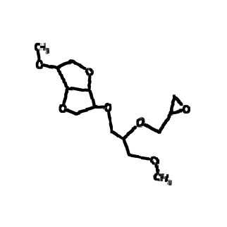 COCC(COC1COC2C(OC)COC12)OCC1CO1